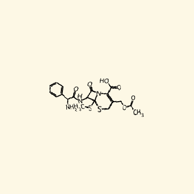 CSC12SCC(COC(C)=O)=C(C(=O)O)N1C(=O)C2NC(=O)C(N)c1ccccc1